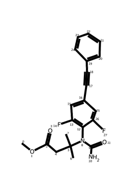 COC(=O)CC(C)(C)N(C(N)=O)c1c(F)cc(C#Cc2ccccc2)cc1F